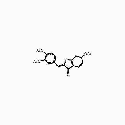 CC(=O)Oc1ccc(C=C2OC3=C(C=CC(OC(C)=O)[C]3)C2=O)cc1OC(C)=O